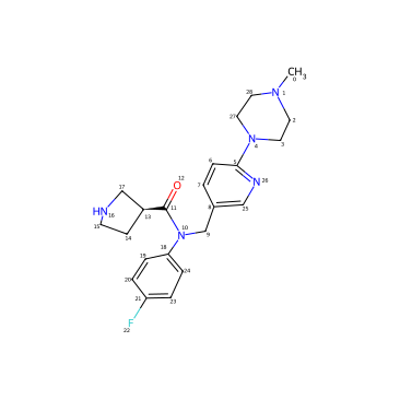 CN1CCN(c2ccc(CN(C(=O)[C@H]3CCNC3)c3ccc(F)cc3)cn2)CC1